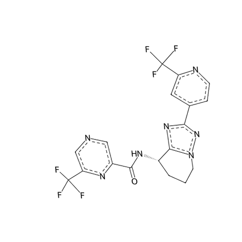 O=C(N[C@H]1CCCn2nc(-c3ccnc(C(F)(F)F)c3)nc21)c1cncc(C(F)(F)F)n1